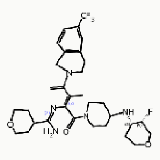 C=C(/C(C)=C(\N=C(/N)C1CCOCC1)C(=O)N1CCC(N[C@H]2CCOC[C@H]2F)CC1)N1CCc2cc(C(F)(F)F)ccc2C1